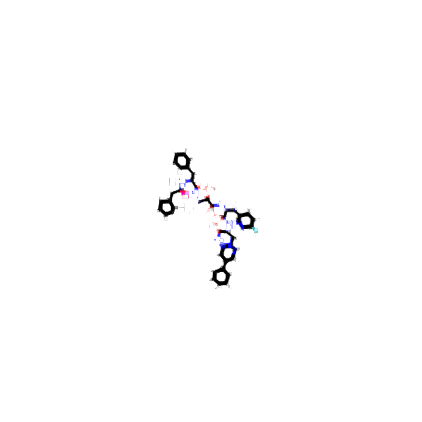 CC(NC(=O)C(Cc1ccccc1)NC(=O)Cc1ccccc1)C(=O)C(=O)NC(Cc1ccc(F)cc1)C(=O)NC(Cc1ccc(-c2ccccc2)cc1)C(N)=O